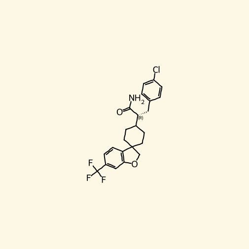 NC(=O)[C@H](Cc1ccc(Cl)cc1)C1CCC2(CC1)COc1cc(C(F)(F)F)ccc12